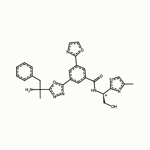 Cc1csc([C@@H](CO)NC(=O)c2cc(-c3ncco3)cc(-c3nnc(C(C)(N)Cc4ccccc4)o3)c2)n1